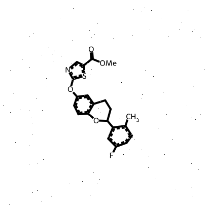 COC(=O)c1cnc(Oc2ccc3c(c2)CCC(c2cc(F)ccc2C)O3)s1